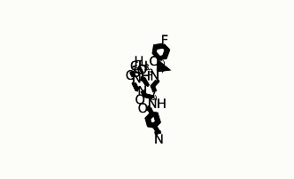 CC1([C@@H]2C[C@H]2NCCC[C@H](NC(=O)c2ccc(C#N)cc2)C(=O)N2CCN(S(C)(=O)=O)CC2)C=CC(F)=CC1